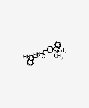 CN(C)C1(c2ccccc2)CCC(=CC(=O)NCc2c[nH]c3ccccc23)CC1